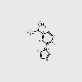 C[C](C)c1ccnc(-n2cccc2)c1